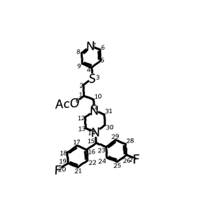 CC(=O)OC(CSc1ccncc1)CN1CCN(C(c2ccc(F)cc2)c2ccc(F)cc2)CC1